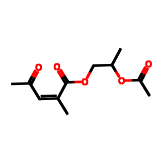 CC(=O)C=C(C)C(=O)OCC(C)OC(C)=O